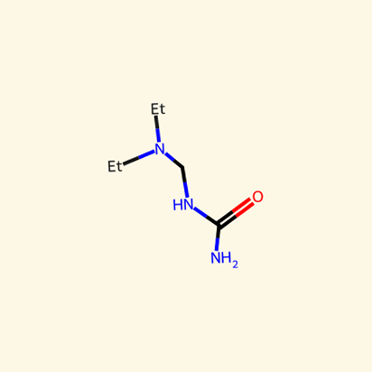 CCN(CC)CNC(N)=O